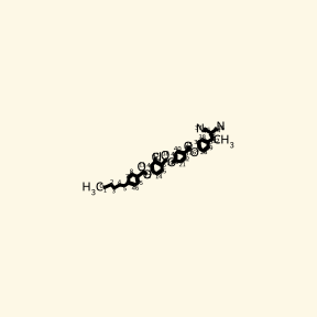 CCCCCCc1ccc(C(=O)Oc2ccc(C(=O)Oc3ccc(C(=O)Oc4ccc(C(C)=C(C#N)C#N)cc4)cc3)c(Cl)c2)cc1